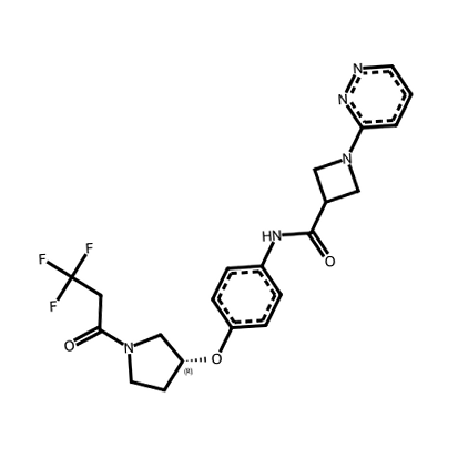 O=C(Nc1ccc(O[C@@H]2CCN(C(=O)CC(F)(F)F)C2)cc1)C1CN(c2cccnn2)C1